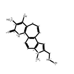 CCCNCc1cc2c3c(ccc2n1C)-c1[nH]c(=O)c(C(=O)O)c(O)c1CC=C3